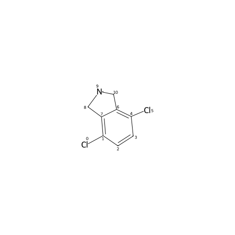 Clc1ccc(Cl)c2c1C[N]C2